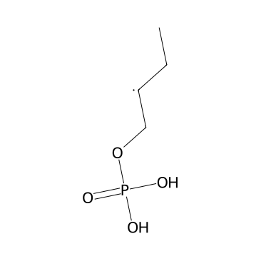 CC[CH]COP(=O)(O)O